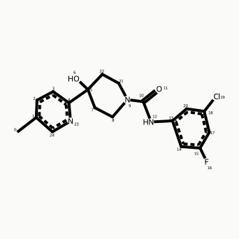 Cc1ccc(C2(O)CCN(C(=O)Nc3cc(F)cc(Cl)c3)CC2)nc1